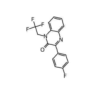 O=c1c(-c2ccc(F)cc2)nc2ccccc2n1CC(F)(F)F